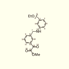 CCOC(=O)c1cccc(NCc2cccc(C(=O)C(=O)OC)c2)c1